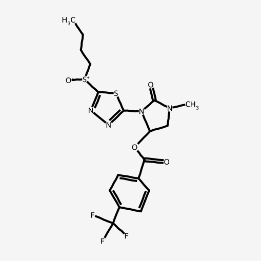 CCCC[S+]([O-])c1nnc(N2C(=O)N(C)CC2OC(=O)c2ccc(C(F)(F)F)cc2)s1